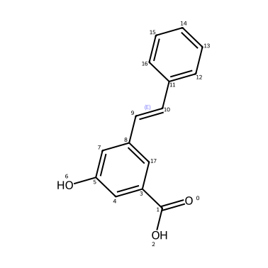 O=C(O)c1cc(O)cc(/C=C/c2ccccc2)c1